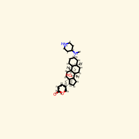 CN(C1CCNCC1)[C@H]1CC[C@@]2(C)[C@H](CC[C@@H]3[C@@H]2CC[C@]2(C)[C@@H](c4ccc(=O)oc4)CC[C@]32O)C1